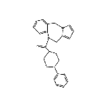 O=C(C1CCN(c2ccccn2)CC1)N1Cc2cccn2Cc2ccccc21